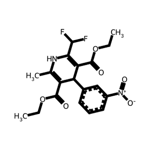 CCOC(=O)C1=C(C)NC(C(F)F)=C(C(=O)OCC)C1c1cccc([N+](=O)[O-])c1